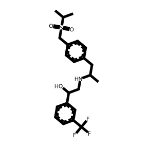 CC(Cc1ccc(CS(=O)(=O)C(C)C)cc1)NCC(O)c1cccc(C(F)(F)F)c1